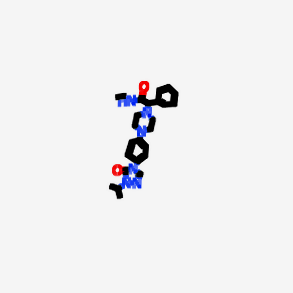 CCNC(=O)C(c1ccccc1)N1CCN(c2ccc(-n3cnn(C(C)C)c3=O)cc2)CC1